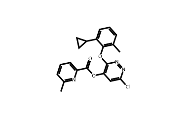 Cc1cccc(C(=O)Oc2cc(Cl)nnc2Oc2c(C)cccc2C2CC2)n1